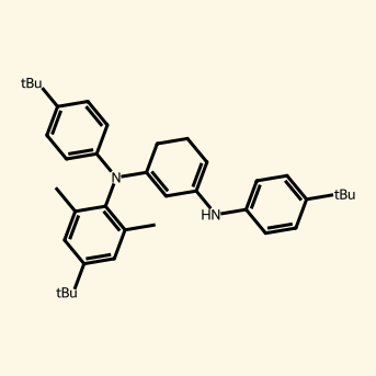 Cc1cc(C(C)(C)C)cc(C)c1N(C1=CC(Nc2ccc(C(C)(C)C)cc2)=CCC1)c1ccc(C(C)(C)C)cc1